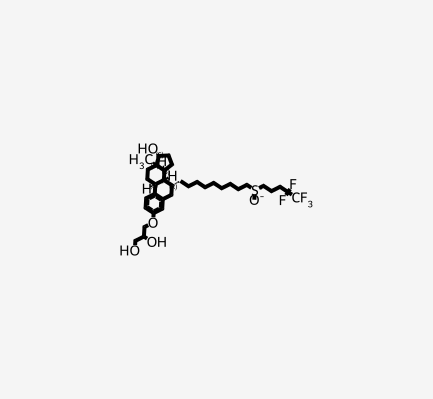 C[C@]12CC[C@@H]3c4ccc(OCC(O)CO)cc4C[C@@H](CCCCCCCCC[S+]([O-])CCCC(F)(F)C(F)(F)F)[C@H]3[C@@H]1CC[C@@H]2O